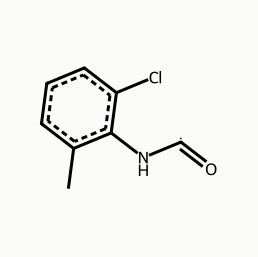 Cc1cccc(Cl)c1N[C]=O